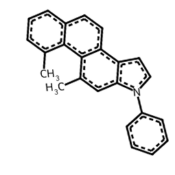 Cc1cccc2ccc3c4ccn(-c5ccccc5)c4cc(C)c3c12